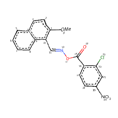 COc1ccc2ccccc2c1/C=N/OC(=O)c1ccc([N+](=O)[O-])cc1Cl